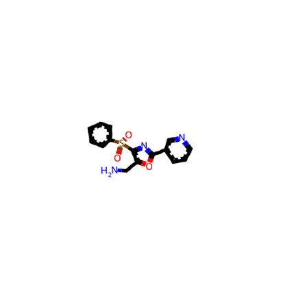 NCc1oc(-c2cccnc2)nc1S(=O)(=O)c1ccccc1